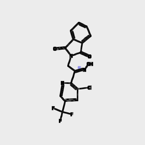 O=C1c2ccccc2C(=O)N1C/C(=N\O)c1ncc(C(F)(F)F)cc1Cl